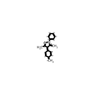 C=c1ccc(=c2c(C)nn(-c3ccccc3)c2=C)cc1